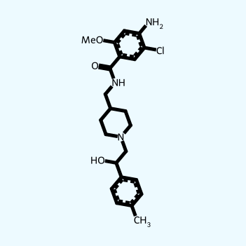 COc1cc(N)c(Cl)cc1C(=O)NCC1CCN(CC(O)c2ccc(C)cc2)CC1